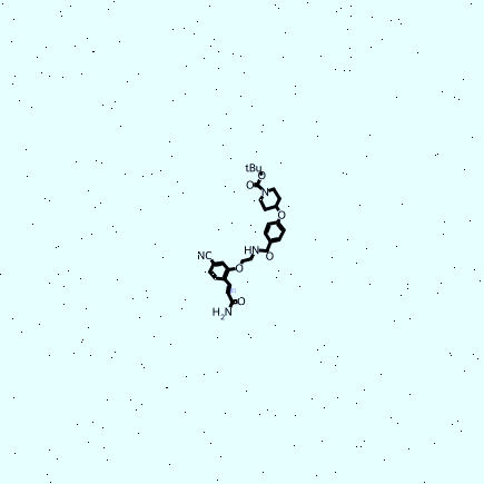 CC(C)(C)OC(=O)N1CCC(Oc2ccc(C(=O)NCCOc3cc(C#N)ccc3/C=C/C(N)=O)cc2)CC1